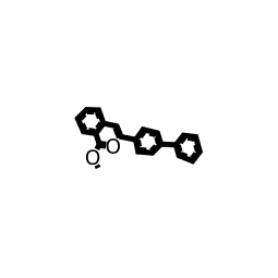 COC(=O)c1ccccc1C=Cc1ccc(-c2ccccc2)cc1